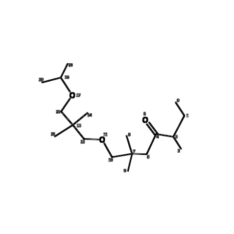 CCC(C)C(=O)CC(C)(C)COCC(C)(C)COC(C)C